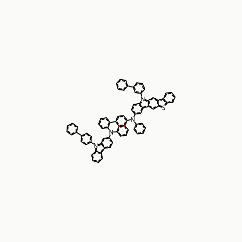 c1ccc(-c2ccc(-n3c4ccccc4c4ccc(N(c5ccccc5)c5ccccc5-c5ccc(N(c6ccccc6)c6ccc7c(c6)c6cc8sc9ccccc9c8cc6n7-c6cccc(-c7ccccc7)c6)cc5)cc43)cc2)cc1